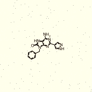 Nc1nc(-c2cn[nH]c2)nc2c1[nH]c(=O)n2Cc1ccccc1